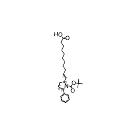 CC(C)(C)OC(=O)N1[C@H](/C=C/CCCCCCCCC(=O)O)CS[C@@H]1c1ccccc1